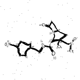 CC[S+]([O-])C1(Cl)CC2CC(=O)N2[C@H]1C(=O)OCc1ccc([N+](=O)[O-])cc1